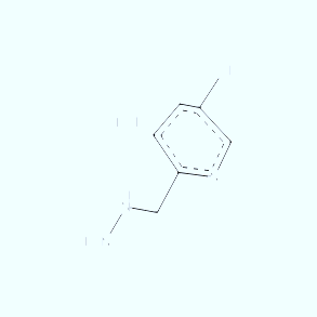 Cl.NNCc1ccc(Cl)cn1